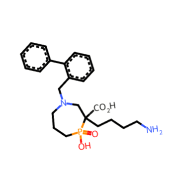 NCCCCC1(C(=O)O)CN(Cc2ccccc2-c2ccccc2)CCCP1(=O)O